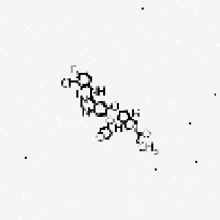 C=CC(=O)N1C[C@H]2C[C@@H](Oc3cc4c(Nc5ccc(F)c(Cl)c5F)ncnc4cc3O[C@@H]3CCOC3)C[C@H]2C1